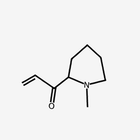 C=CC(=O)C1CCCCN1C